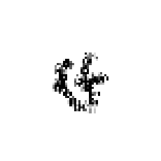 CC(=O)O.CC(=O)O.CN1CCN([C@H]2CC[C@H](n3nc(-c4ccc(NCc5c(F)cccc5Cl)cc4)c4c(N)ncnc43)CC2)CC1.Cc1[nH]ncc1CNc1ccc(-c2nn([C@H]3CC[C@H](N4CCN(C)CC4)CC3)c3ncnc(N)c23)cc1